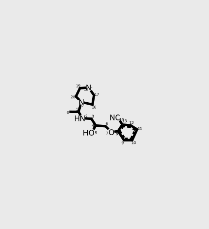 CC(NCC(O)COc1ccccc1C#N)N1CC[N]CC1